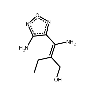 CC/C(CO)=C(/N)c1nonc1N